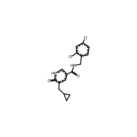 O=C(NCc1ccc(Cl)cc1Cl)c1c[nH]c(=O)c(CC2CC2)c1